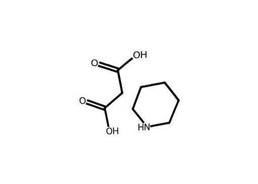 C1CCNCC1.O=C(O)CC(=O)O